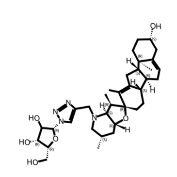 CC1=C2C[C@H]3[C@@H](CC=C4C[C@@H](O)CC[C@@]43C)[C@@H]2CC[C@]12O[C@@H]1C[C@H](C)CN(Cc3cn([C@@H]4O[C@H](CO)[C@H](O)C4O)nn3)[C@H]1[C@H]2C